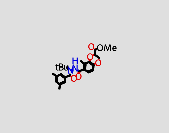 COC(=O)C1COc2ccc(C(=O)NN(C(=O)c3cc(C)cc(C)c3)C(C)(C)C)c(C)c2O1